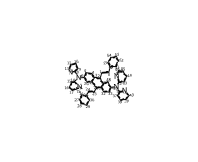 C(=C\c1c2ccc(N(c3ccccn3)c3ccccn3)cc2c(/C=C/c2ccccc2)c2ccc(N(c3ccccn3)c3ccccn3)cc12)/c1ccccc1